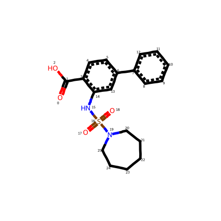 O=C(O)c1ccc(-c2ccccc2)cc1NS(=O)(=O)N1CCCCCC1